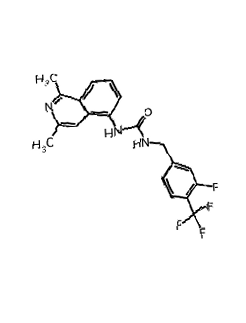 Cc1cc2c(NC(=O)NCc3ccc(C(F)(F)F)c(F)c3)cccc2c(C)n1